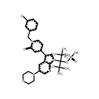 CC(C)(C)C(OP(=O)(O)O)(n1cc(-c2ccn(Cc3cccc(Cl)c3)c(=O)c2)c2cc(N3CCOCC3)cnc21)C(C)(C)C